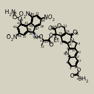 BC(=O)Oc1ccc2nc3c(cc2c1)Cn1c-3cc2c(c1=O)COC(=O)[C@@]2(CC)OC(=O)[C@@H](C)O/N=C1/c2cc([N+](=O)[O-])cc(OON)c2-c2c1cc([N+](=O)[O-])cc2[N+](=O)[O-]